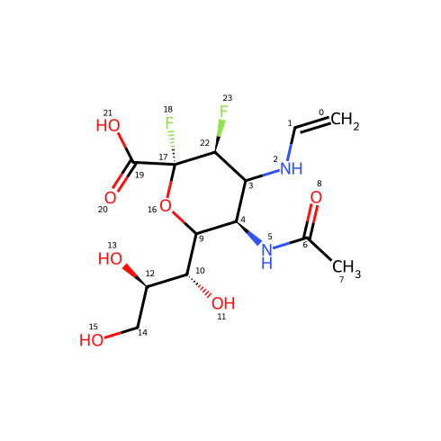 C=CNC1[C@@H](NC(C)=O)C([C@H](O)[C@H](O)CO)O[C@@](F)(C(=O)O)[C@H]1F